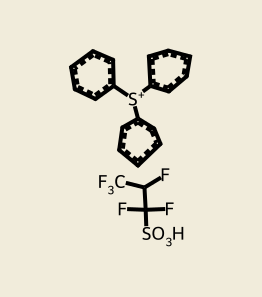 O=S(=O)(O)C(F)(F)C(F)C(F)(F)F.c1ccc([S+](c2ccccc2)c2ccccc2)cc1